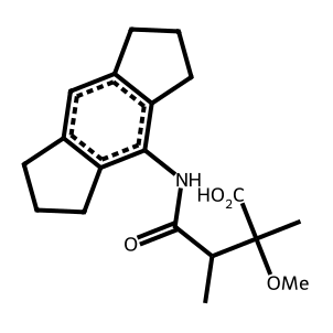 COC(C)(C(=O)O)C(C)C(=O)Nc1c2c(cc3c1CCC3)CCC2